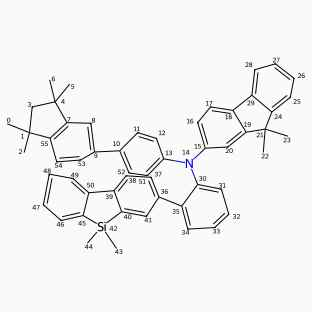 CC1(C)CC(C)(C)c2cc(-c3ccc(N(c4ccc5c(c4)C(C)(C)c4ccccc4-5)c4ccccc4-c4ccc5c(c4)[Si](C)(C)c4ccccc4-5)cc3)ccc21